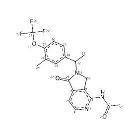 CC(=O)Nc1nccc2c1CN(C(C)c1ccc(OC(F)(F)F)c(C)c1)C2=O